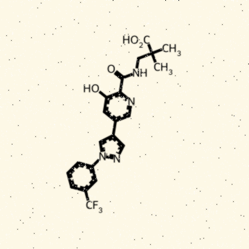 CC(C)(CNC(=O)c1ncc(-c2cnn(-c3cccc(C(F)(F)F)c3)c2)cc1O)C(=O)O